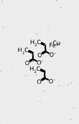 C=CC(=O)[O-].C=CC(=O)[O-].C=CC(=O)[O-].[Cu].[Fe+3]